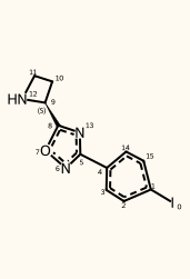 Ic1ccc(-c2noc([C@@H]3CCN3)n2)cc1